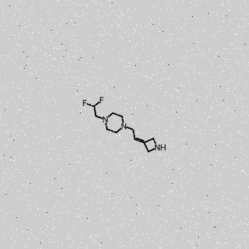 FC(F)CN1CCN(CC=C2CNC2)CC1